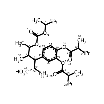 CC(C)C(C)OC(=O)OC(C)C(C)C(c1ccc(OC(=O)C(C)C(C)C)c(OC(=O)C(C)C(C)C)c1)[C@H](N)C(=O)O